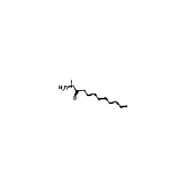 CCCCCCCCCC(=O)NN